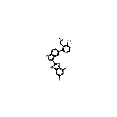 CCNCc1c(C)ccnc1-c1ccc2[nH]nc(-c3nc4c(F)cc(F)cc4[nH]3)c2c1